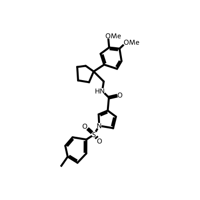 COc1ccc(C2(CNC(=O)c3ccn(S(=O)(=O)c4ccc(C)cc4)c3)CCCC2)cc1OC